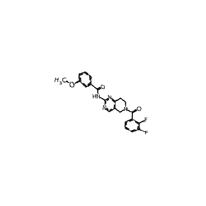 COc1cccc(C(=O)Nc2ncc3c(n2)CCN(C(=O)c2cccc(F)c2F)C3)c1